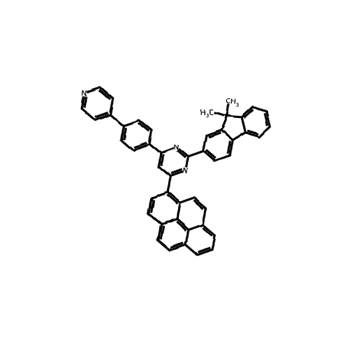 CC1(C)c2ccccc2-c2ccc(-c3nc(-c4ccc(-c5ccncc5)cc4)cc(-c4ccc5ccc6cccc7ccc4c5c67)n3)cc21